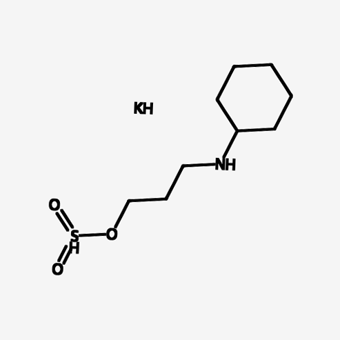 O=[SH](=O)OCCCNC1CCCCC1.[KH]